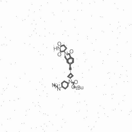 CC(C)(C)OC(=O)N([C@H]1CC[C@@H](N=[N+]=[N-])CC1)[C@H]1C[C@@H](C#Cc2ccc3c(c2)CN(C2CCC(=O)NC2=O)C3=O)C1